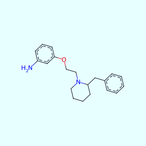 Nc1cccc(OCCN2CCCCC2Cc2ccccc2)c1